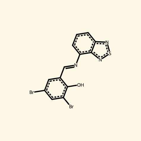 Oc1c(Br)cc(Br)cc1/C=N/c1cccc2nsnc12